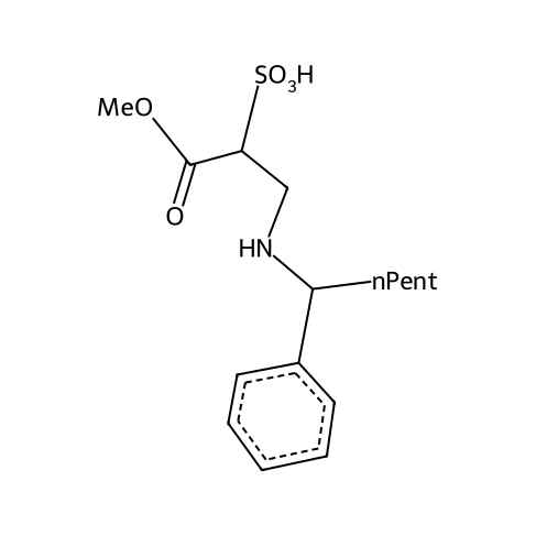 CCCCCC(NCC(C(=O)OC)S(=O)(=O)O)c1ccccc1